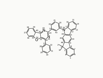 CC1(C)c2ccccc2-c2cc3c4ccccc4n(-c4cccc(-c5nc(-c6ccccc6)c6oc7ccccc7c6n5)c4)c3cc21